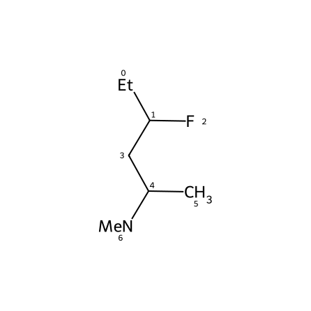 CCC(F)CC(C)NC